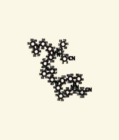 N#Cc1cccc(-c2cc(-c3ccccc3)nc(-n3c4ccc(-c5cccc(-n6c7ccccc7c7ccccc76)c5)cc4c4cc(-c5cccc(-n6c7ccccc7c7c(-c8cccc(-n9c%10ccc(-c%11ccccc%11)cc%10c%10cc(-c%11ccc%12c%13ccccc%13n(-c%13nc(-c%14ccccc%14)cc(-c%14cccc(C#N)c%14)n%13)c%12c%11)ccc%109)c8)cccc76)c5)ccc43)n2)c1